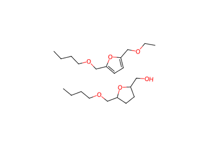 CCCCOCC1CCC(CO)O1.CCCCOCc1ccc(COCC)o1